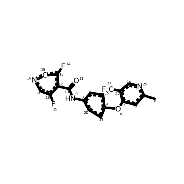 Cc1cc(Oc2ccc(NC(=O)c3c(F)cncc3F)cc2)c(C(F)(F)F)cn1